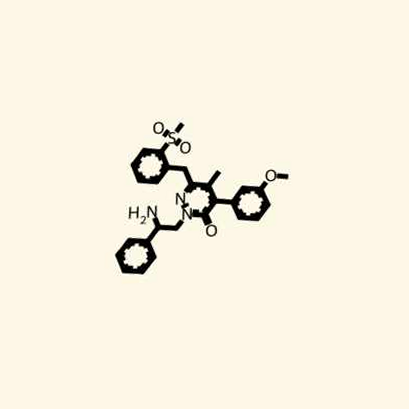 COc1cccc(-c2c(C)c(Cc3ccccc3S(C)(=O)=O)nn(CC(N)c3ccccc3)c2=O)c1